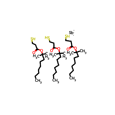 CCCCCCCC(C)(C)OC(=O)CCS.CCCCCCCC(C)(C)OC(=O)CCS.CCCCCCCC(C)(C)OC(=O)CCS.[Sb]